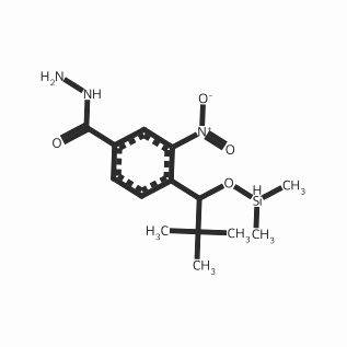 C[SiH](C)OC(c1ccc(C(=O)NN)cc1[N+](=O)[O-])C(C)(C)C